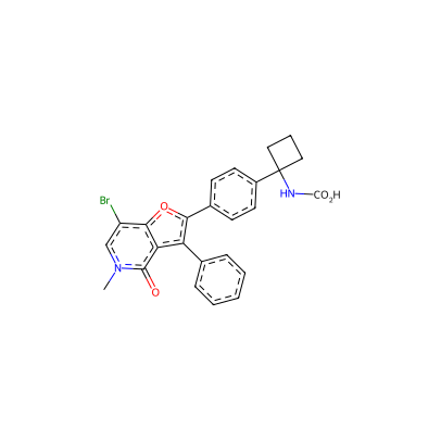 Cn1cc(Br)c2oc(-c3ccc(C4(NC(=O)O)CCC4)cc3)c(-c3ccccc3)c2c1=O